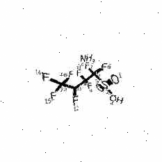 N.O=S(=O)(O)C(F)(F)C(F)(F)C(F)C(F)(F)F